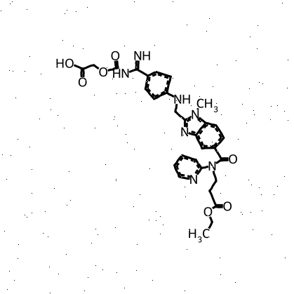 CCOC(=O)CCN(C(=O)c1ccc2c(c1)nc(CNc1ccc(C(=N)NC(=O)OCC(=O)O)cc1)n2C)c1ccccn1